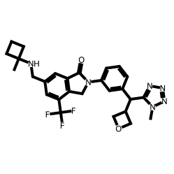 Cn1nnnc1C(c1cccc(N2Cc3c(cc(CNC4(C)CCC4)cc3C(F)(F)F)C2=O)c1)C1COC1